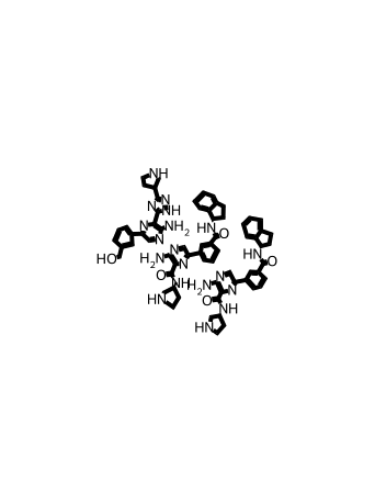 Nc1ncc(-c2cccc(C(=O)N[C@H]3CCc4ccccc43)c2)nc1C(=O)N[C@@H]1CCNC1.Nc1ncc(-c2cccc(C(=O)N[C@H]3CCc4ccccc43)c2)nc1C(=O)N[C@H]1CCNC1.Nc1ncc(-c2cccc(CO)c2)nc1-c1nc(C2CCNC2)n[nH]1